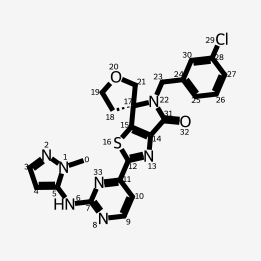 Cn1nccc1Nc1nccc(-c2nc3c(s2)[C@]2(CCOC2)N(Cc2cccc(Cl)c2)C3=O)n1